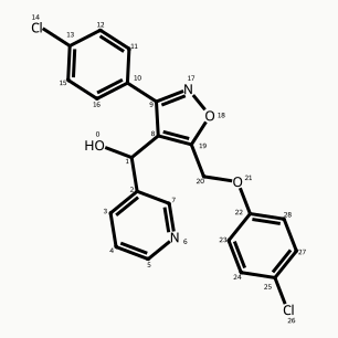 OC(c1cccnc1)c1c(-c2ccc(Cl)cc2)noc1COc1ccc(Cl)cc1